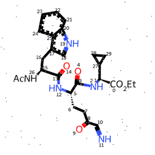 CCOC(=O)[C@@H](NC(=O)[C@H](CCC(=O)C=N)NC(=O)[C@H](Cc1c[nH]c2ccccc12)NC(C)=O)C1CC1